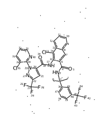 CC(C)(NC(=O)c1cc2ccccc2c(Cl)c1NC(=O)c1cc(C(F)(F)F)nn1-c1ncccc1Cl)c1cccc(C(F)(F)F)c1